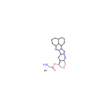 CC(C)[C@H](N)C(=O)OC1=c2cc3c4nc5cccc6cccc(c4cn3cc2COC1)c65